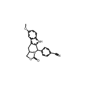 COc1ccc2[nH]c3c(c2c1)CC1COC(=O)N1C3c1ccc(C#N)cc1